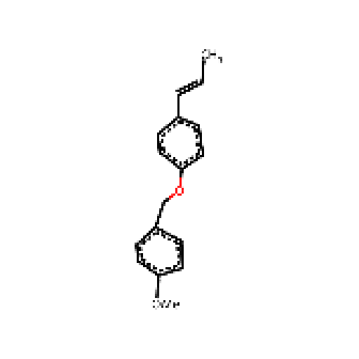 C/C=C/c1ccc(OCc2ccc(OC)cc2)cc1